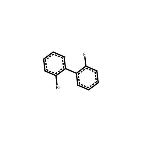 Fc1ccccc1-c1[c]cccc1Br